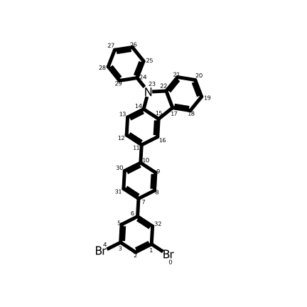 Brc1cc(Br)cc(-c2ccc(-c3ccc4c(c3)c3ccccc3n4-c3ccccc3)cc2)c1